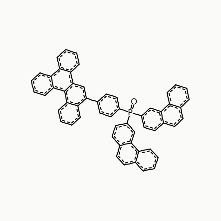 O=P(c1ccc(-c2cc3c4ccccc4c4ccccc4c3c3ccccc23)cc1)(c1ccc2ccc3ccccc3c2c1)c1ccc2ccc3ccccc3c2c1